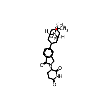 CCN1[C@@H]2CC(c3ccc4c(c3)CN(C3CCC(=O)NC3=O)C4=O)C[C@H]1CN(C)C2